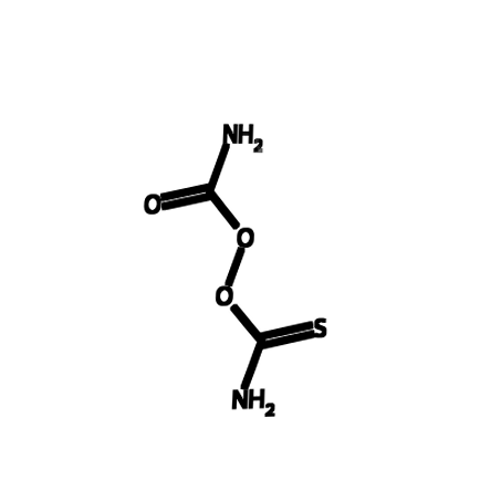 NC(=O)OOC(N)=S